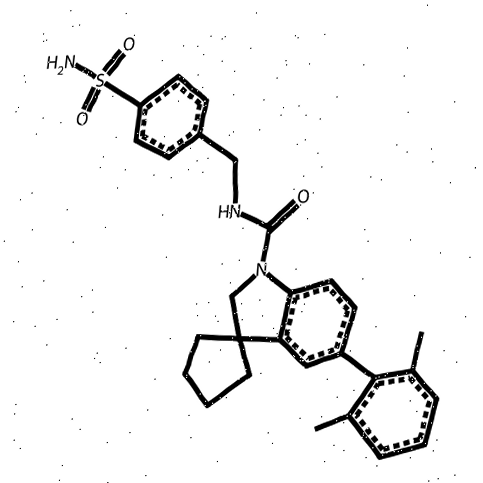 Cc1cccc(C)c1-c1ccc2c(c1)C1(CCCC1)CN2C(=O)NCc1ccc(S(N)(=O)=O)cc1